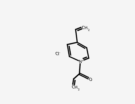 C=CC(=O)[n+]1ccc(C=C)cc1.[Cl-]